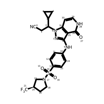 N#CCC(C1CC1)n1nc(Nc2ccc(S(=O)(=O)N3CC[C@@H](C(F)(F)F)C3)cc2)c2c(=O)[nH]ccc21